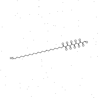 O=CC(=O)C(=O)C(=O)C(=O)C(=O)C(=O)C(=O)C(=O)C(=O)C(=O)CCCCCCCCCCCCCCCCCCCCCCCS